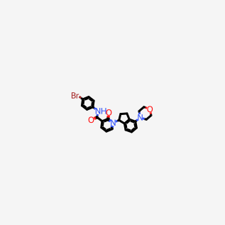 O=C(Nc1ccc(Br)cc1)c1cccn(C2CCc3c2cccc3N2CCOCC2)c1=O